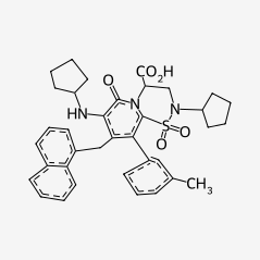 Cc1cccc(-c2c(Cc3cccc4ccccc34)c(NC3CCCC3)c(=O)n3c2S(=O)(=O)N(C2CCCC2)CC3C(=O)O)c1